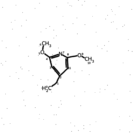 [CH2]Cc1cc(OC)nc(OC)c1